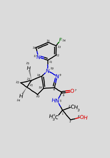 CC(C)(CO)NC(=O)c1nn(-c2cc(F)ccn2)c2c1C[C@H]1C[C@@H]21